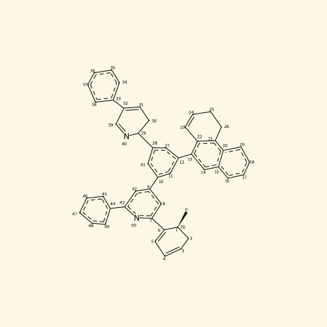 C[C@H]1CC=CC=C1c1cc(-c2cc(-c3cc4ccccc4c4c3C=CCC4)cc(C3CC=C(c4ccccc4)C=N3)c2)cc(-c2ccccc2)n1